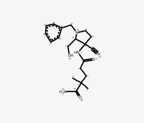 CC(C)(C[CH]C(=O)NC1(C#N)CCN(Cc2ccccc2)C1CO)C(N)=O